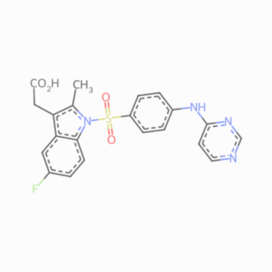 Cc1c(CC(=O)O)c2cc(F)ccc2n1S(=O)(=O)c1ccc(Nc2ccncn2)cc1